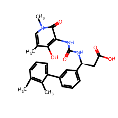 Cc1cccc(-c2cccc([C@H](CC(=O)O)NC(=O)Nc3c(O)c(C)cn(C)c3=O)c2)c1C